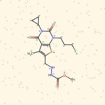 Cc1c(CNNC(=O)OC(C)(C)C)sc2c1c(=O)n(C1CC1)c(=O)n2CCCF